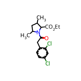 CCOC(=O)C1C(C)CC(C)N1C(=O)Cc1ccc(Cl)cc1Cl